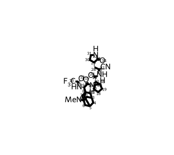 CNC12CC3CC(C1)CC([C@H](NC(=O)C(F)(F)F)C(=O)N1[C@@H]4CC[C@@H](C4)[C@H]1C(=O)N[C@H](C#N)C[C@@H]1CCNC1=O)(C3)C2